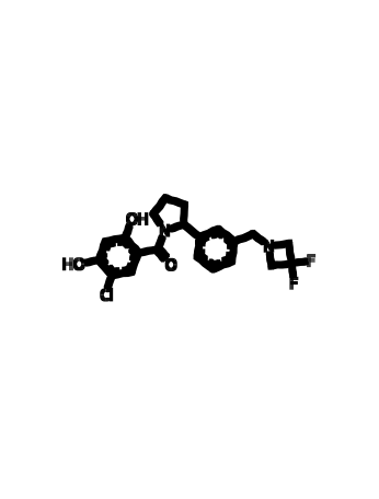 O=C(c1cc(Cl)c(O)cc1O)N1CCCC1c1cccc(CN2CC(F)(F)C2)c1